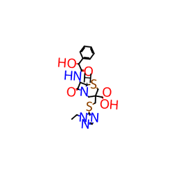 CCn1ncnc1SCC1(C(=O)O)CS[C@@H]2C(NC(=O)C(O)c3ccccc3)C(=O)N2C1